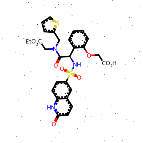 CCOC(=O)CN(Cc1cccs1)C(=O)[C@H](NS(=O)(=O)c1ccc2[nH]c(=O)ccc2c1)c1ccccc1OCC(=O)O